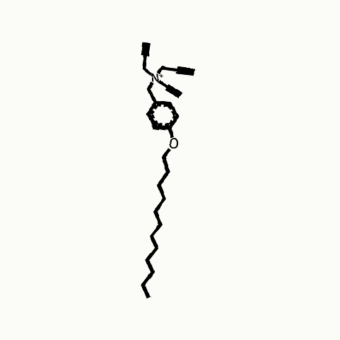 C#CC[N+](C#C)(CC#C)Cc1ccc(OCCCCCCCCCCCC)cc1